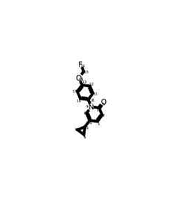 O=c1ccc(C2CC2)cn1-c1ccc(OCF)cc1